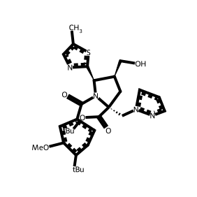 COc1cc(C(=O)N2[C@@H](c3ncc(C)s3)[C@@H](CO)C[C@@]2(Cn2cccn2)C(=O)OC(C)(C)C)ccc1C(C)(C)C